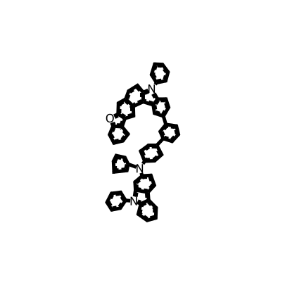 c1ccc(N(c2ccc(-c3cccc(-c4ccc5c(c4)c4c6cc7c(cc6ccc4n5-c4ccccc4)oc4ccccc47)c3)cc2)c2ccc3c4ccccc4n(-c4ccccc4)c3c2)cc1